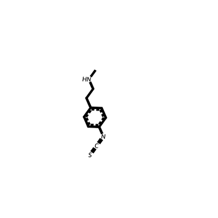 CNCCc1ccc(N=C=S)cc1